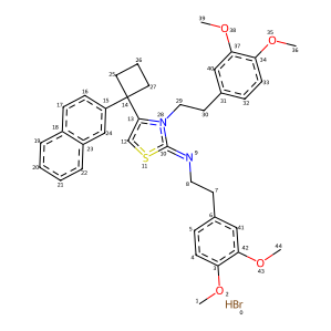 Br.COc1ccc(CCN=c2scc(C3(c4ccc5ccccc5c4)CCC3)n2CCc2ccc(OC)c(OC)c2)cc1OC